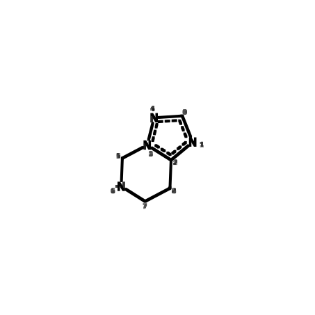 c1nc2n(n1)C[N]CC2